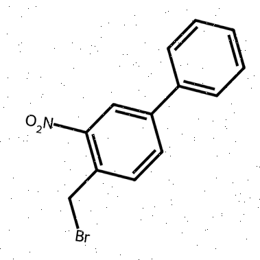 O=[N+]([O-])c1cc(-c2ccccc2)ccc1CBr